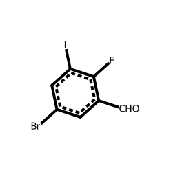 O=Cc1cc(Br)cc(I)c1F